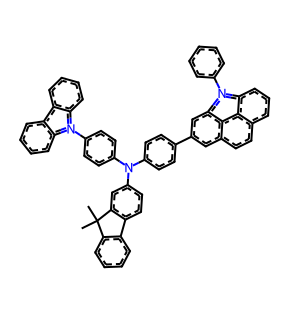 CC1(C)c2ccccc2-c2ccc(N(c3ccc(-c4cc5ccc6cccc7c6c5c(c4)n7-c4ccccc4)cc3)c3ccc(-n4c5ccccc5c5ccccc54)cc3)cc21